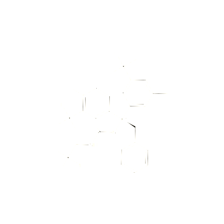 CC(C)(O)c1cc(F)cc([C@](Cc2ccccc2)(NC(=O)NCC(F)(F)F)c2ccc(F)c(C(F)(F)F)c2)c1